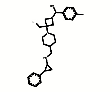 N#CCC1(N2CCC(CNC3CC3c3ccccc3)CC2)CN(C(O)c2ccc(F)cc2)C1